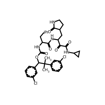 CC(C)CC(NC(=O)OC(c1cccc(Cl)c1)C(C)(C)c1cccc(Cl)c1)C(=O)NC(CC1CCNC1=O)C(=O)C(=O)NC1CC1